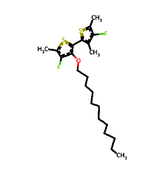 CCCCCCCCCCCCOc1c(-c2sc(C)c(F)c2C)sc(C)c1F